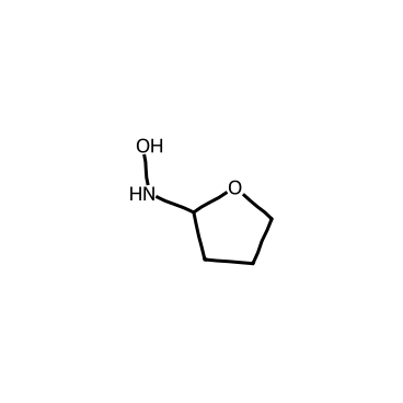 ONC1CCCO1